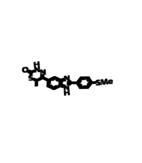 CSc1ccc(-c2nc3cc(C4=NNC(=O)SC4C)ccc3[nH]2)cc1